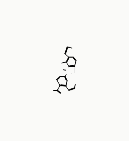 C=C(C)c1ccc([PH](C)(C)c2cccc(/C=C\C)c2C)cc1/C=C\C